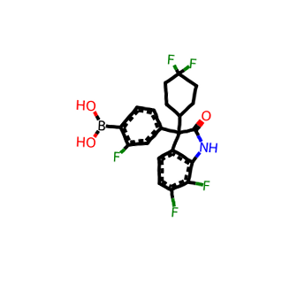 O=C1Nc2c(ccc(F)c2F)C1(c1ccc(B(O)O)c(F)c1)C1CCC(F)(F)CC1